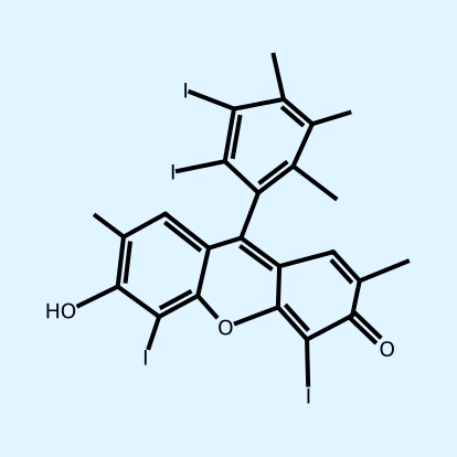 Cc1cc2c(-c3c(C)c(C)c(C)c(I)c3I)c3cc(C)c(=O)c(I)c-3oc2c(I)c1O